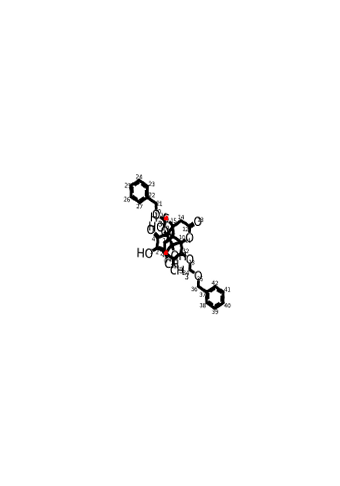 CC1=C(O)C(=O)C2(O)C1(O)C13OC(=O)CC2(C)[C@@]1(OCOCc1ccccc1)CCC(C)C3OCOCc1ccccc1